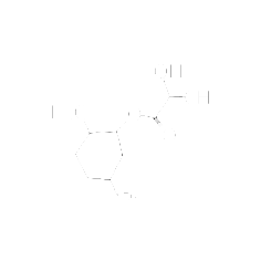 CC(O)C(=O)OC1CC(C(C)C)CCC1C